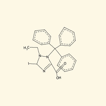 CCN1C(I)N=C(C(=O)O)N1C(c1ccccc1)(c1ccccc1)c1ccccc1